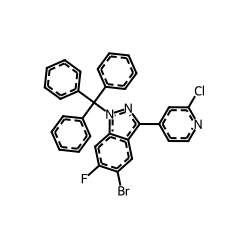 Fc1cc2c(cc1Br)c(-c1ccnc(Cl)c1)nn2C(c1ccccc1)(c1ccccc1)c1ccccc1